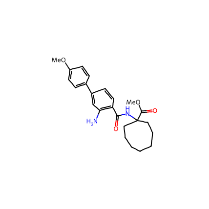 COC(=O)C1(NC(=O)c2ccc(-c3ccc(OC)cc3)cc2N)CCCCCCC1